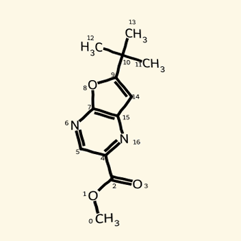 COC(=O)c1cnc2oc(C(C)(C)C)cc2n1